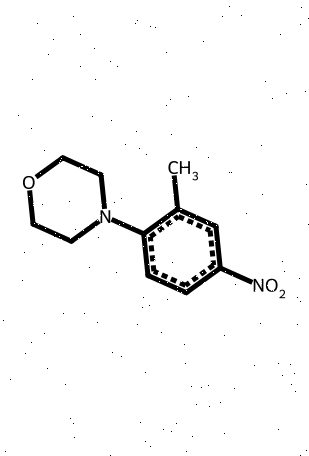 Cc1cc([N+](=O)[O-])ccc1N1CCOCC1